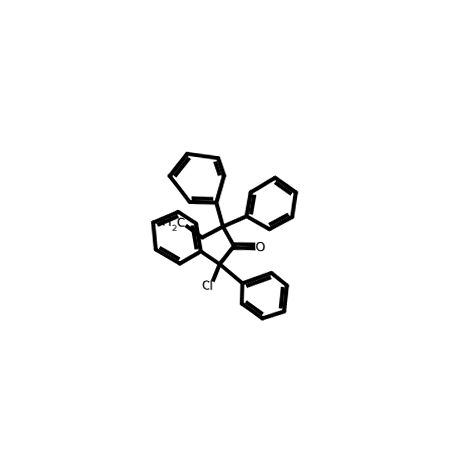 [CH2]CC(C(=O)C(Cl)(c1ccccc1)c1ccccc1)(c1ccccc1)c1ccccc1